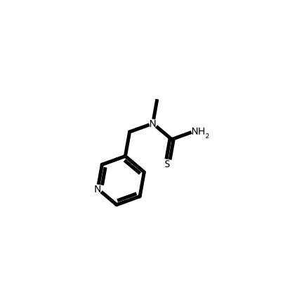 CN(Cc1cccnc1)C(N)=S